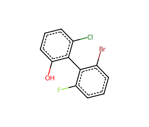 Oc1cccc(Cl)c1-c1c(F)cccc1Br